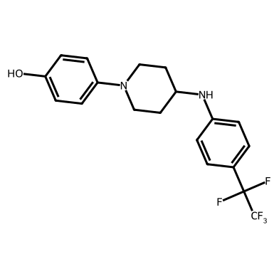 Oc1ccc(N2CCC(Nc3ccc(C(F)(F)C(F)(F)F)cc3)CC2)cc1